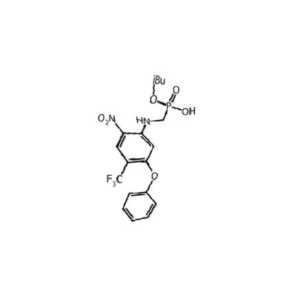 CCC(C)OP(=O)(O)CNc1cc(Oc2ccccc2)c(C(F)(F)F)cc1[N+](=O)[O-]